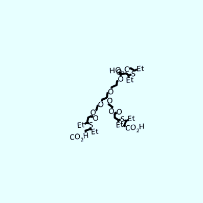 CCC(CC(=O)O)SC(CC)CC(=O)OCCCOCC(COCCOC(=O)CC(CC)SC(CC)CC(=O)O)OCCOC(=O)CC(CC)SC(CC)CC(=O)O